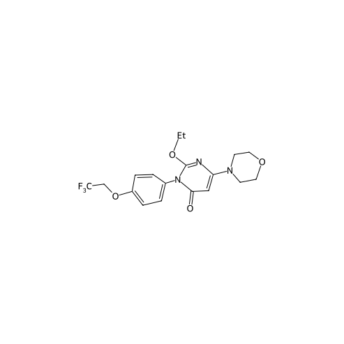 CCOc1nc(N2CCOCC2)cc(=O)n1-c1ccc(OCC(F)(F)F)cc1